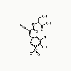 N#CC(=Cc1cc(O)c(O)c([N+](=O)[O-])c1)C(=O)NC(CO)C(=O)O